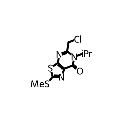 CSc1nc2c(=O)n(C(C)C)c(CCl)nc2s1